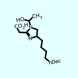 CCCCCCCCCCCCCCC1CN(C(C)O)C(CC(=O)O)=N1